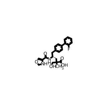 CC(CO)(C[C@@H](Cc1ccc(-c2ccccc2F)cc1)NC(=O)C1=COCN1)C(=O)O